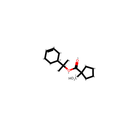 CC(C)(OC(=O)C1(C(=O)O)CCCC1)C1CC=CCC1